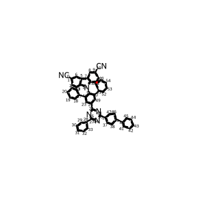 N#Cc1ccc2c(c1)c1cc(C#N)ccc1n2-c1c(-c2ccccc2)cc(-c2nc(-c3ccccc3)nc(-c3ccc(-c4ccccc4)cc3)n2)cc1-c1ccccc1